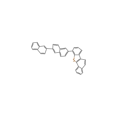 c1ccc2cc(-c3ccc4cc(-c5cccc6c5sc5c7ccccc7ccc65)ccc4c3)ccc2c1